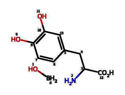 BO.NC(Cc1ccc(O)c(O)c1)C(=O)O